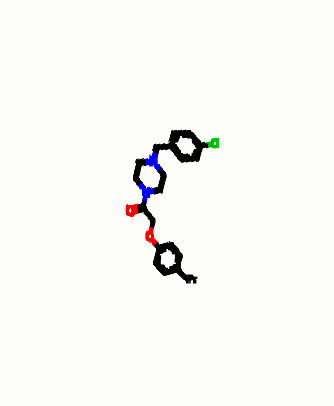 CC(C)c1ccc(OCC(=O)N2CCN(Cc3ccc(Cl)cc3)CC2)cc1